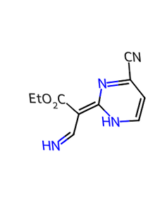 CCOC(=O)/C(C=N)=C1\N=C(C#N)C=CN1